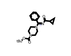 CC(C)(C)OC(=O)N1CCN(/C(=N/C(=O)C2CC2)c2ccccc2)CC1